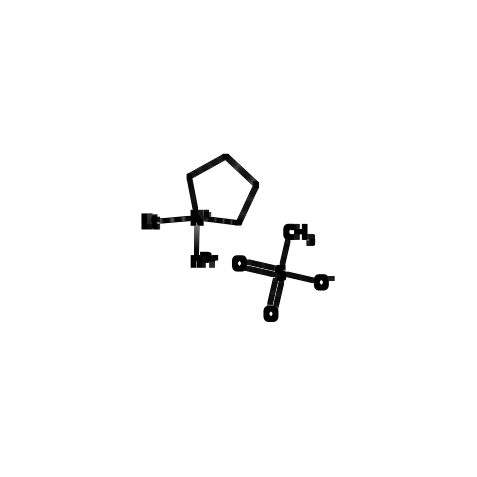 CCC[N+]1(CC)CCCC1.CS(=O)(=O)[O-]